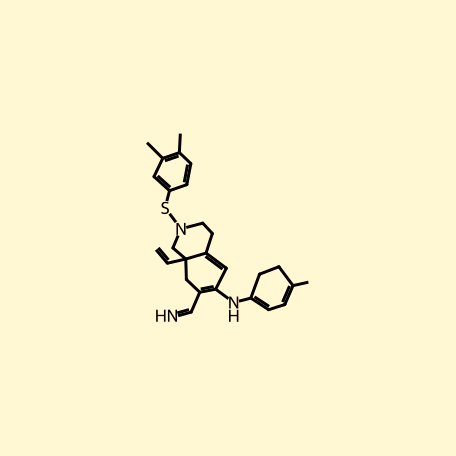 C=CC12CC(C=N)=C(NC3=CC=C(C)CC3)C=C1CCN(Sc1ccc(C)c(C)c1)C2